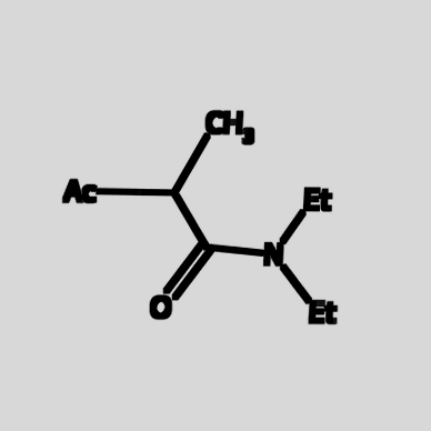 CCN(CC)C(=O)C(C)C(C)=O